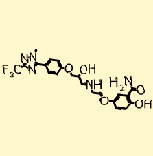 Cn1nc(C(F)(F)F)nc1-c1ccc(OCC(O)CNCCOc2ccc(O)c(C(N)=O)c2)cc1